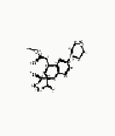 COC(=O)CC1CC(C(=O)O)(C(=O)O)Cc2ccc(N3CCOCC3)cc21